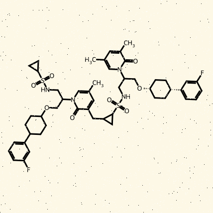 Cc1cc(C)c(=O)n(C(CNS(=O)(=O)C2CC2Cc2cc(C)cn(C(CNS(=O)(=O)C3CC3)COC3CCC(c4cccc(F)c4)CC3)c2=O)CO[C@H]2CC[C@@H](c3cccc(F)c3)CC2)c1